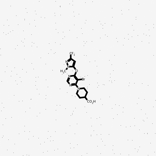 Cn1nc(C(F)(F)F)cc1Oc1ncnc(N2CCC(C(=O)O)CC2)c1Br